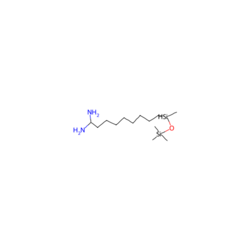 C[SiH](CCCCCCCCC(N)N)O[Si](C)(C)C